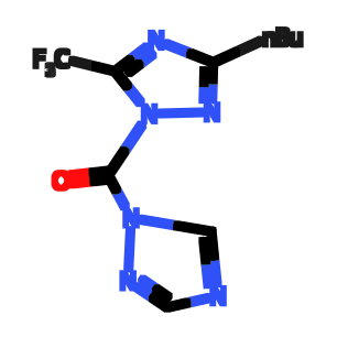 CCCCc1nc(C(F)(F)F)n(C(=O)n2cncn2)n1